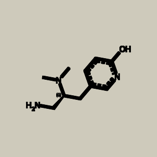 CN(C)[C@H](CN)Cc1ccc(O)nc1